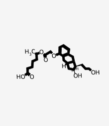 CC(CCCCC(=O)O)OC(=O)COc1cccc2c1C[C@H]1C[C@@H](O)[C@H](CCCO)C1C2